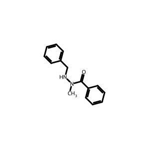 CN(NCc1ccccc1)C(=O)c1ccccc1